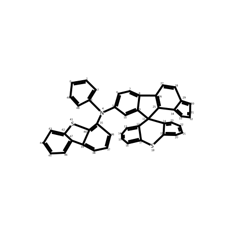 c1ccc(N(c2ccc3c(c2)C2(c4ccccc4Sc4ccccc42)c2c-3ccc3ccccc23)c2cccc3c2sc2ccccc23)cc1